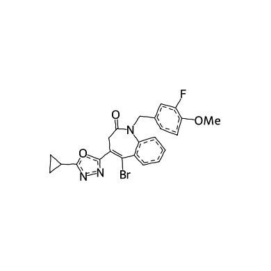 COc1ccc(CN2C(=O)CC(c3nnc(C4CC4)o3)=C(Br)c3ccccc32)cc1F